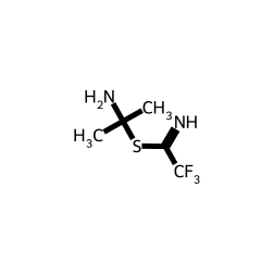 CC(C)(N)SC(=N)C(F)(F)F